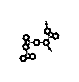 N#Cc1cc(-c2ccc(-n3c4ccccc4c4ccc(-n5c6ccccc6c6ccccc65)cc43)cc2)cc(-n2c3ccccc3c3cc(C#N)ccc32)c1